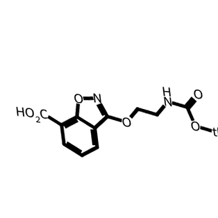 CC(C)(C)OC(=O)NCCOc1noc2c(C(=O)O)cccc12